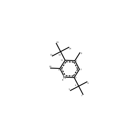 Cc1cc(C(C)(C)C)nc(C)c1C(C)(C)C